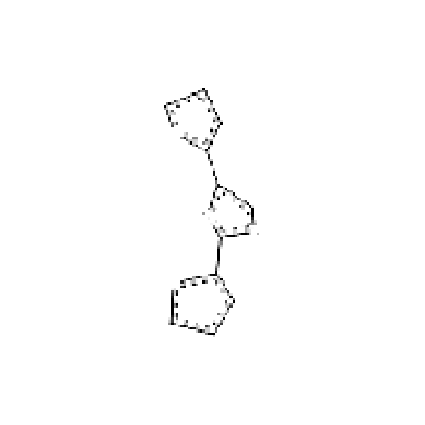 c1coc(-c2cnc(-c3ccco3)[nH]2)c1